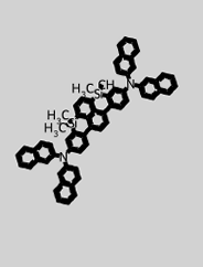 C[Si]1(C)c2cc(N(c3ccc4ccccc4c3)c3ccc4ccccc4c3)ccc2-c2ccc3c4c(ccc1c24)[Si](C)(C)c1cc(N(c2ccc4ccccc4c2)c2ccc4ccccc4c2)ccc1-3